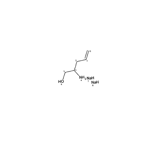 C=CCC(N)CO.[NaH].[NaH]